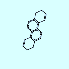 C1=Cc2c(ccc3c4c(ccc23)CCC=C4)CC1